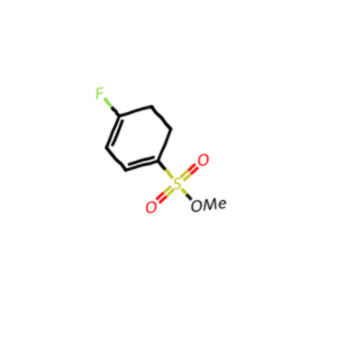 COS(=O)(=O)C1=CC=C(F)CC1